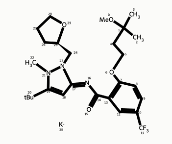 COC(C)(C)CCOc1ccc(C(F)(F)F)cc1C(=O)N=c1cc(C(C)(C)C)n(C)n1C[C@H]1CCCO1.[K]